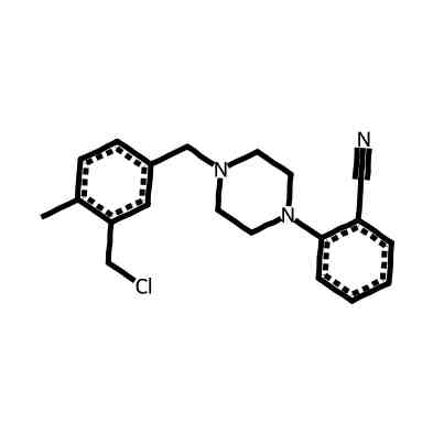 Cc1ccc(CN2CCN(c3ccccc3C#N)CC2)cc1CCl